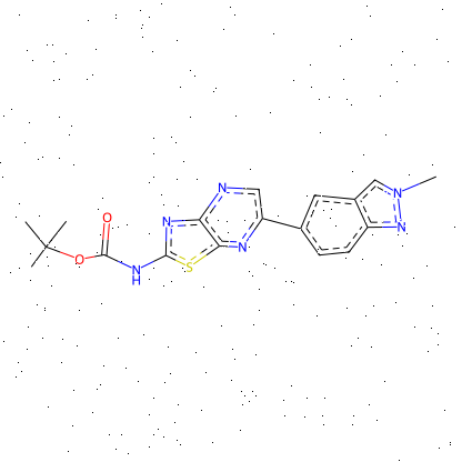 Cn1cc2cc(-c3cnc4nc(NC(=O)OC(C)(C)C)sc4n3)ccc2n1